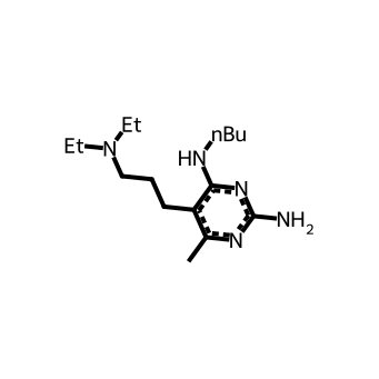 CCCCNc1nc(N)nc(C)c1CCCN(CC)CC